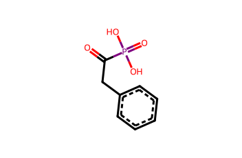 O=C(Cc1ccccc1)P(=O)(O)O